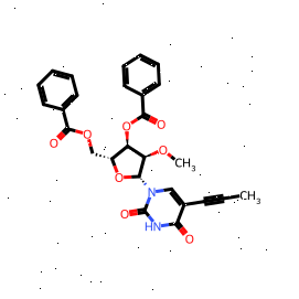 CC#Cc1cn([C@@H]2O[C@H](COC(=O)c3ccccc3)[C@@H](OC(=O)c3ccccc3)[C@H]2OC)c(=O)[nH]c1=O